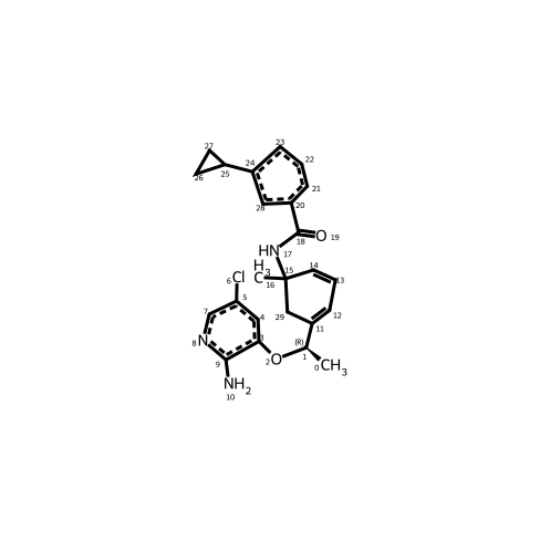 C[C@@H](Oc1cc(Cl)cnc1N)C1=CC=CC(C)(NC(=O)c2cccc(C3CC3)c2)C1